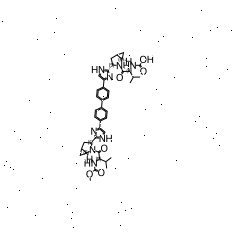 COC(=O)N[C@@H](C(=O)N1[C@@H]2CC2C[C@H]1c1nc(-c2ccc(-c3ccc(-c4c[nH]c([C@@H]5CC6C[C@H]6N5C(=O)[C@H](NC(=O)O)C(C)C)n4)cc3)cc2)c[nH]1)C(C)C